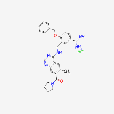 Cc1cc2c(NCc3cc(C(=N)N)ccc3OCc3ccccc3)ncnc2cc1C(=O)N1CCCC1.Cl